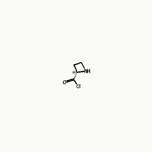 O=C(Cl)[C@@H]1CCN1